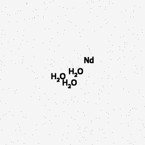 O.O.O.[Nd]